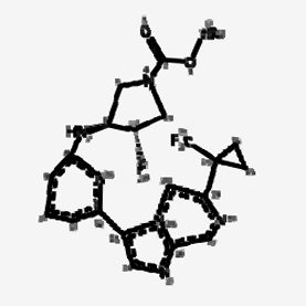 CC(C)(C)OC(=O)N1C[C@H](Nc2cccc(-c3cnc4cnc(C5(C(F)(F)F)CC5)cn34)n2)[C@@H](F)C1